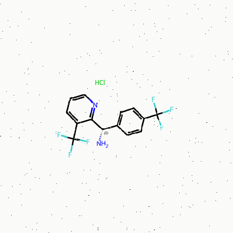 Cl.N[C@@H](c1ccc(C(F)(F)F)cc1)c1ncccc1C(F)(F)F